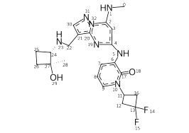 CNc1cc(Nc2cccn(C3CC(F)(F)C3)c2=O)nc2c(CN[C@H]3CC[C@]3(C)O)cnn12